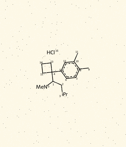 CNC(CC(C)C)C1(c2ccc(C)c(C)c2)CCC1.Cl